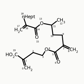 C=C(CCOC(=O)C(=C)CCC(C)OC(=O)C(=C)CCCCCCC)C(=O)O